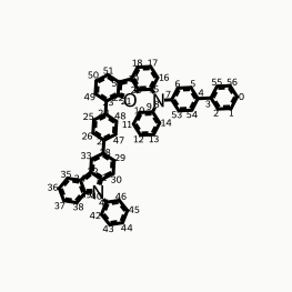 c1ccc(-c2ccc(N(c3ccccc3)c3cccc4c3oc3c(-c5ccc(-c6ccc7c(c6)c6ccccc6n7-c6ccccc6)cc5)cccc34)cc2)cc1